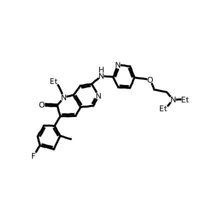 CCN(CC)CCOc1ccc(Nc2cc3c(cn2)cc(-c2ccc(F)cc2C)c(=O)n3CC)nc1